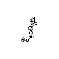 O=C1NC(=O)/C(=C/c2ccnc(N3CCC(CNCc4ccc(-c5ccco5)o4)CC3)n2)S1